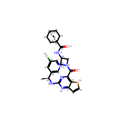 C[C@H](Nc1nc(C(=O)N2CC(NC(=O)C34CCC(CC3)CC4)C2)c2sccc2n1)c1cncc(F)c1